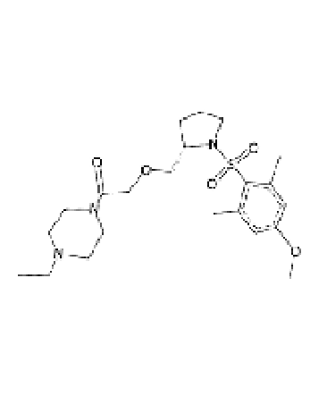 CCN1CCN(C(=O)COC[C@@H]2CCCN2S(=O)(=O)c2c(C)cc(OC)cc2C)CC1